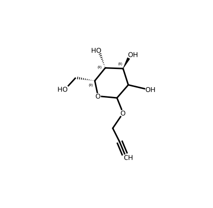 C#CCOC1O[C@H](CO)[C@H](O)[C@@H](O)C1O